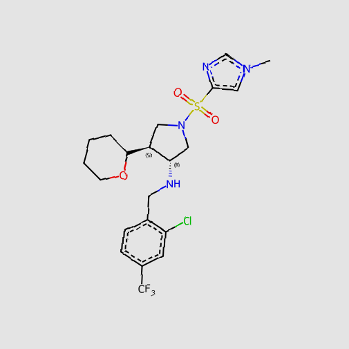 Cn1cnc(S(=O)(=O)N2C[C@H](NCc3ccc(C(F)(F)F)cc3Cl)[C@@H](C3CCCCO3)C2)c1